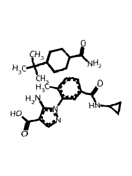 CC(C)(C)C1CCC(C(N)=O)CC1.Cc1ccc(C(=O)NC2CC2)cc1-n1ncc(C(=O)O)c1N